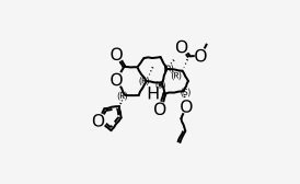 C=CCO[C@H]1C[C@@H](C(=O)OC)[C@]2(C)CCC3C(=O)O[C@@H](c4ccoc4)C[C@]3(C)[C@H]2C1=O